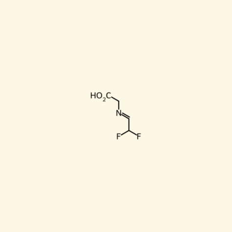 O=C(O)CN=CC(F)F